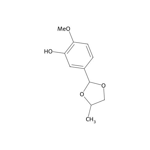 COc1ccc(C2OCC(C)O2)cc1O